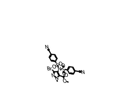 COC(=O)c1c(N(S(=O)(=O)c2ccc(C#N)cc2)S(=O)(=O)c2ccc(C#N)cc2)c(Br)nn1C